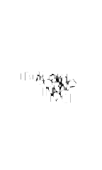 CC(C)(C)[Si](C)(C)OC1CC(N)CC(Nc2ncc(Cl)c(-c3cc4ccccc4n3S(=O)(=O)c3ccccc3)n2)C1